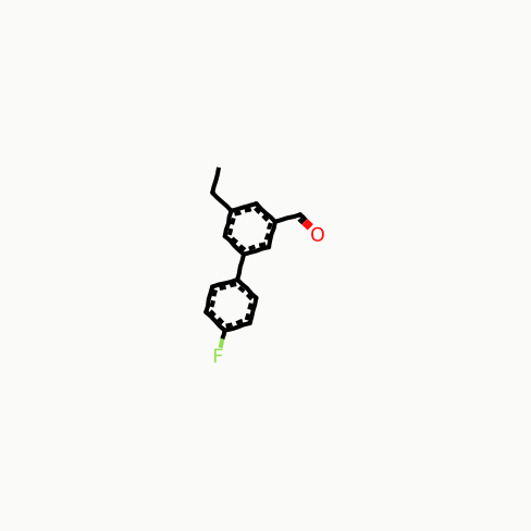 CCc1cc(C=O)cc(-c2ccc(F)cc2)c1